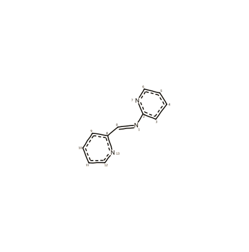 C(=N\c1ccccn1)/c1ccccn1